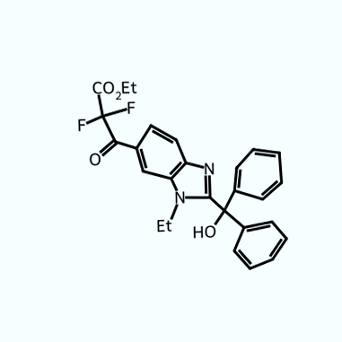 CCOC(=O)C(F)(F)C(=O)c1ccc2nc(C(O)(c3ccccc3)c3ccccc3)n(CC)c2c1